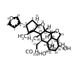 CC1=C2[C@@H](C[C@H]1c1ccoc1)O[C@@H]1[C@@H]3OC[C@]4(C)[C@H](O)C[C@H](O)[C@@](C)([C@@H]34)[C@@H](CC(=O)O)[C@]21C